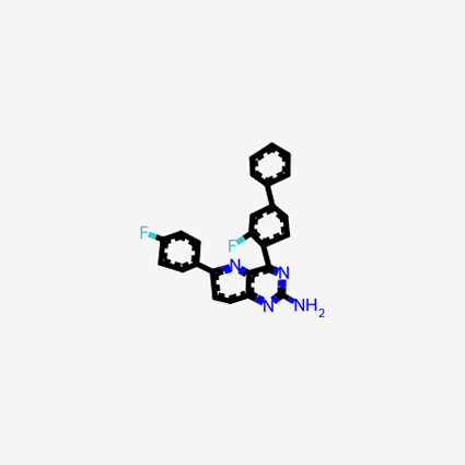 Nc1nc(-c2ccc(-c3ccccc3)cc2F)c2nc(-c3ccc(F)cc3)ccc2n1